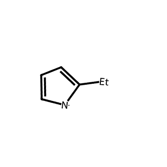 CCC1=CC=C[N]1